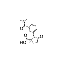 CN(C)C(=O)c1cccc(N2C(=O)CC[C@H]2C(=O)O)c1